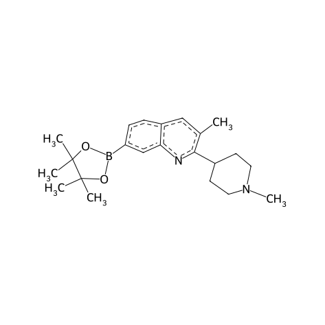 Cc1cc2ccc(B3OC(C)(C)C(C)(C)O3)cc2nc1C1CCN(C)CC1